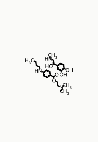 CCCCNc1ccc(C(=O)OCCN(C)C)cc1.CNC[C@H](O)c1ccc(O)c(O)c1